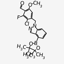 COc1cc(Cn2ncc3c(B4OC(C)(C)C(C)(C)O4)cccc32)c(Cl)c(F)c1C=O